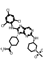 CS(=O)(=O)N1CCC[C@@H](Nc2ncc3nc(Nc4c(Cl)cc(Cl)cc4Cl)n([C@H]4CC[C@H](C(N)=O)CC4)c3n2)C1